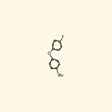 CCC(C)c1ccc(Oc2ccc(F)cc2)cc1